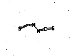 S=C=NN=C=S